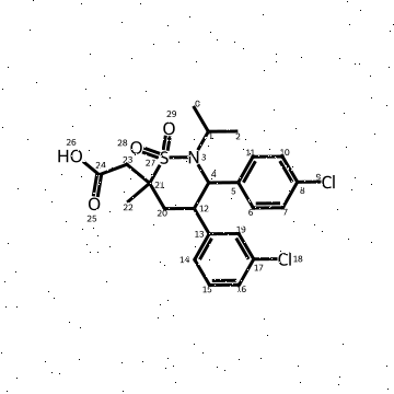 CC(C)N1C(c2ccc(Cl)cc2)C(c2cccc(Cl)c2)CC(C)(CC(=O)O)S1(=O)=O